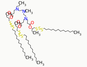 CCCCCCCCCCCCCCSSSCC(CC)OC(=O)CCN(CCC)CCN(C)CCN(CCC(=O)OC(CC)CSSSCCCCCCCCCCCCCC)CCC(=O)OC(CC)CSSSCCCCCCCCCCCCCC